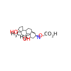 CC12CC/C(=N/OCC(=O)O)C=C1CCC1C2C(O)CC2(C)C(O)CCC12